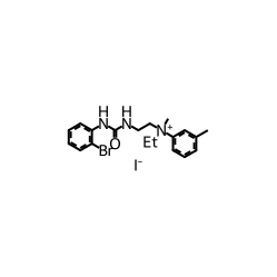 CC[N+](C)(CCNC(=O)Nc1ccccc1Br)c1cccc(C)c1.[I-]